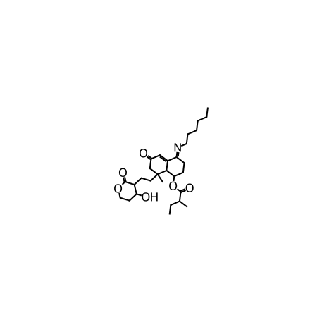 CCCCCCN=C1CCC(OC(=O)C(C)CC)C2C1=CC(=O)CC2(C)CCC1C(=O)OCCC1O